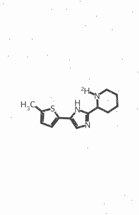 [2H]N1CCCCC1c1ncc(-c2ccc(C)s2)[nH]1